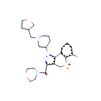 O=C(c1nn(C2CCCN(CC3CCOC3)C2)c2c1CS(=O)(=O)c1c(F)cccc1-2)N1CCOCC1